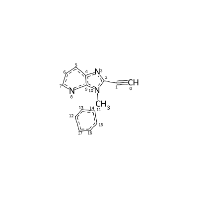 C#Cc1nc2cccnc2n1C.c1ccccc1